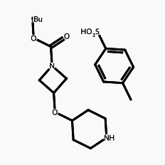 CC(C)(C)OC(=O)N1CC(OC2CCNCC2)C1.Cc1ccc(S(=O)(=O)O)cc1